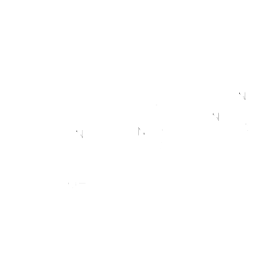 O=S(=O)(C1CCN(c2nccs2)CC1)N1Cc2cnc(C(O)c3ccccc3)cc2C1